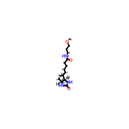 COCCCNC(=O)CCCCC1SC[C@@H]2NC(=O)N[C@H]12